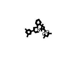 CC1=CC(C)OC(C2=CC3(C)c4ccccc4C4C=C(c5cc(C)cc(C)c5)C=CN4C23C)O1